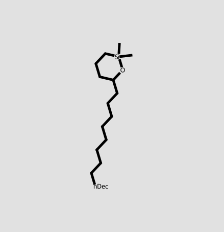 CCCCCCCCCCCCCCCCCCC1CCC[Si](C)(C)O1